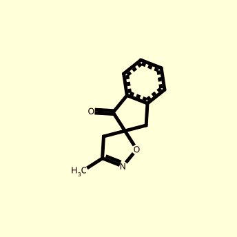 CC1=NOC2(C1)Cc1ccccc1C2=O